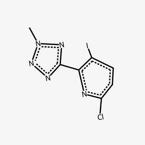 Cn1nnc(-c2nc(Cl)ccc2I)n1